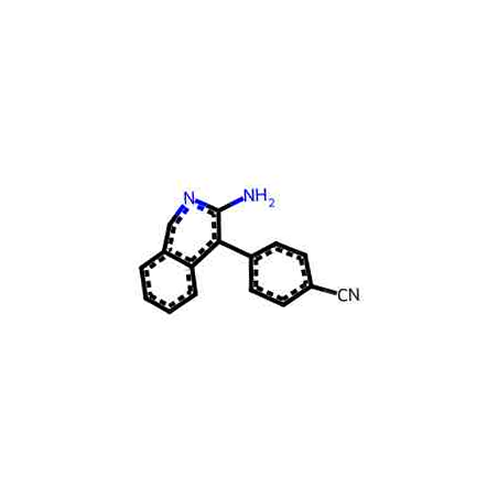 N#Cc1ccc(-c2c(N)ncc3ccccc23)cc1